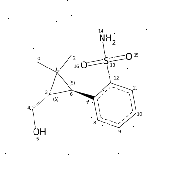 CC1(C)[C@@H](CO)[C@@H]1c1ccccc1S(N)(=O)=O